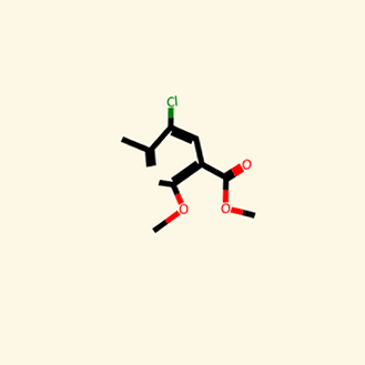 C=C(C)/C(Cl)=C\C(C(=O)OC)=C(/C)OC